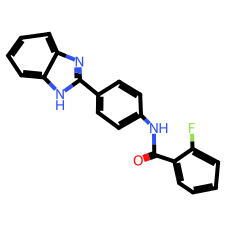 O=C(Nc1ccc(-c2nc3ccccc3[nH]2)cc1)c1ccccc1F